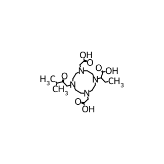 CCC(C(=O)O)N1CCN(CC(=O)O)CCN(CC(=O)C(C)C)CCN(CC(=O)O)CC1